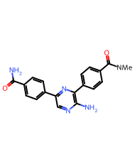 CNC(=O)c1ccc(-c2nc(-c3ccc(C(N)=O)cc3)cnc2N)cc1